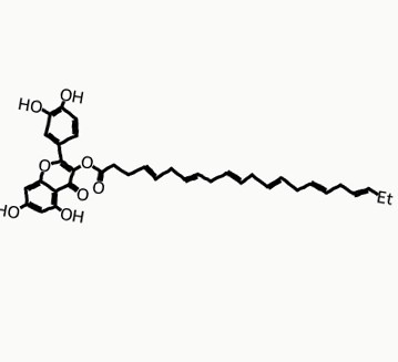 CCC=CCC=CCC=CCC=CCC=CCC=CCCC(=O)Oc1c(-c2ccc(O)c(O)c2)oc2cc(O)cc(O)c2c1=O